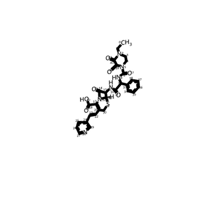 CCN1CCN(C(=O)NC(C(=O)NC2C(=O)N3C(C(=O)O)=C(C=Cc4cccnc4)CS[C@@H]23)c2ccccc2)C(=O)C1=O